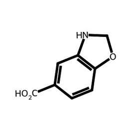 O=C(O)c1ccc2c(c1)NCO2